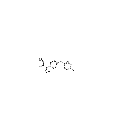 C=C(C=O)C(=N)c1ccc(Cc2ccc(C)cn2)cc1